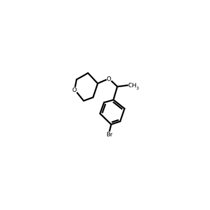 CC(OC1CCOCC1)c1ccc(Br)cc1